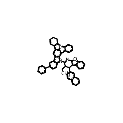 CCC1C(n2c3ccc(-c4ccccc4)cc3c3cc4c5c(n6c7ccccc7c(c32)c46)CCC=C5)=Nc2oc3ccccc3c2C1c1ccc2ccccc2c1